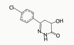 O=C1NN=C(c2ccc(Cl)cc2)CC1O